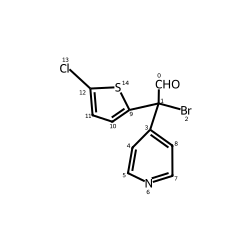 O=CC(Br)(c1ccncc1)c1ccc(Cl)s1